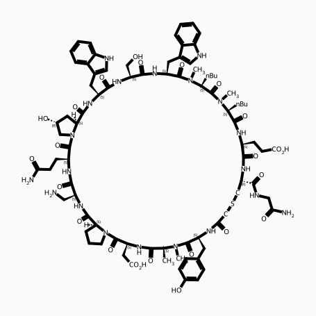 CCCC[C@H]1C(=O)N(C)[C@@H](CCCC)C(=O)N[C@@H](CCC(=O)O)C(=O)N[C@H](C(=O)NCC(N)=O)CSCC(=O)N[C@@H](Cc2ccc(O)cc2)C(=O)N(C)[C@@H](C)C(=O)N[C@@H](CC(=O)O)C(=O)N2CCC[C@H]2C(=O)N[C@@H](CN)C(=O)N[C@@H](CCC(N)=O)C(=O)N2C[C@H](O)C[C@H]2C(=O)N[C@@H](Cc2c[nH]c3ccccc23)C(=O)N[C@@H](CO)C(=O)N[C@@H](Cc2c[nH]c3ccccc23)C(=O)N1C